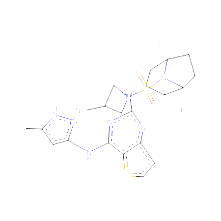 Cc1cc(Nc2nc(N[C@@H]3C[C@H]4CC[C@@H](C3)N4S(=O)(=O)N3CC(C#N)C3)nc3ccsc23)n[nH]1